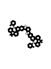 Cc1ccccc1N(c1ccc2cc3c(cc2c1)oc1c3ccc2oc3cc4cc(N(c5ccccc5C)c5cccc6c5-c5ccccc5C6(C)C)ccc4cc3c21)c1cccc2c1-c1ccccc1C2(C)C